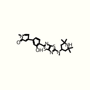 CN(c1nc2sc(-c3ccc(-c4ccn(C)c(=O)c4)cc3O)nc2s1)C1CC(C)(C)NC(C)(C)C1